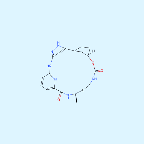 C[C@@H]1CCNC(=O)O[C@@H]2CCC(C2)c2cc(n[nH]2)Nc2cccc(n2)C(=O)N1